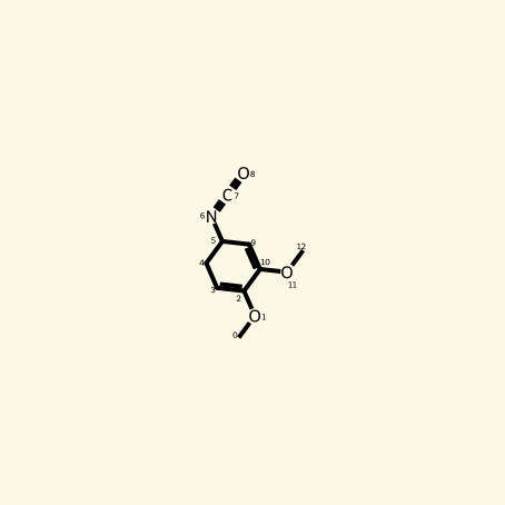 COC1=CCC(N=C=O)C=C1OC